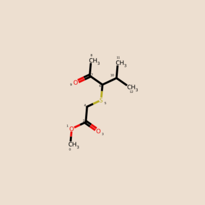 COC(=O)CSC(C(C)=O)C(C)C